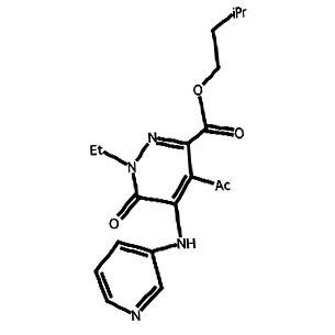 CCn1nc(C(=O)OCCC(C)C)c(C(C)=O)c(Nc2cccnc2)c1=O